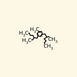 CCCCC(CC)Cc1[c]c(CC(CC)CCCC)cc(C)c1